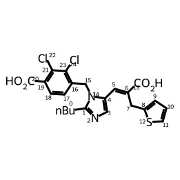 CCCCc1ncc(/C=C(\Cc2cccs2)C(=O)O)n1Cc1ccc(C(=O)O)c(Cl)c1Cl